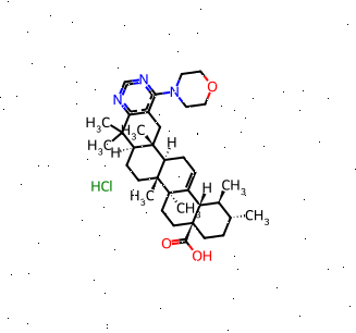 C[C@H]1[C@H](C)CC[C@]2(C(=O)O)CC[C@]3(C)C(=CC[C@@H]4[C@@]5(C)Cc6c(N7CCOCC7)ncnc6C(C)(C)[C@@H]5CC[C@]43C)[C@H]12.Cl